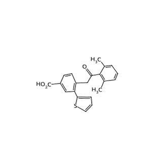 Cc1cccc(C)c1C(=O)Cc1ccc(C(=O)O)cc1-c1cccs1